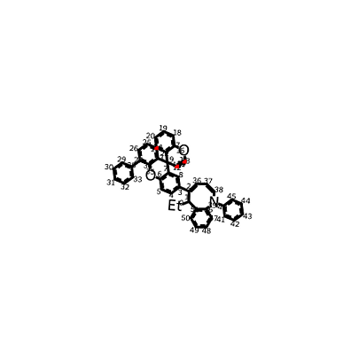 CCC1/C(c2ccc3c(c2)C2(c4ccccc4Oc4ccccc42)c2cccc(-c4ccccc4)c2O3)=C\C=C/N(c2ccccc2)c2ccccc21